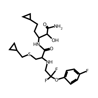 NC(=O)C(O)C(CCC1CC1)NC(=O)C(CSCC1CC1)NCC(F)(F)Oc1ccc(F)cc1